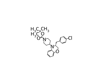 CC(C)(C)OC(=O)N1CCC(N2c3ccccc3OC[C@@H]2Cc2ccc(Cl)cc2)CC1